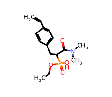 C=Cc1ccc(CC(C(=O)N(C)C)P(=O)(O)OCC)cc1